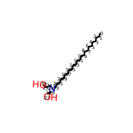 CCCCCCCCCCCCCCCCCCCCCCCCN(CCO)CCO